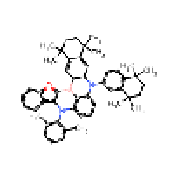 Cc1cccc(C)c1N1c2cccc3c2B(c2oc4ccccc4c21)C1C=C2C(=CC1N3c1ccc3c(c1)C(C)(C)CCC3(C)C)C(C)(C)CCC2(C)C